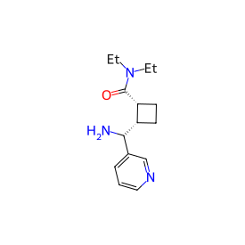 CCN(CC)C(=O)[C@@H]1CC[C@@H]1C(N)c1cccnc1